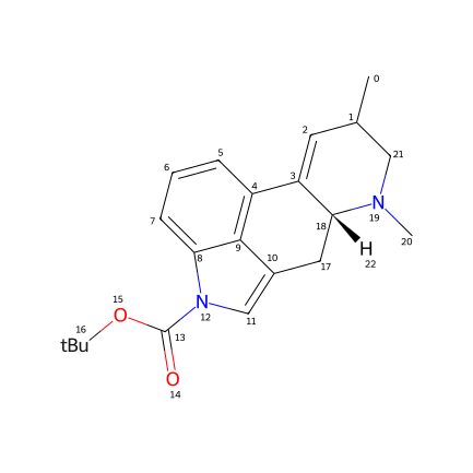 CC1C=C2c3cccc4c3c(cn4C(=O)OC(C)(C)C)C[C@H]2N(C)C1